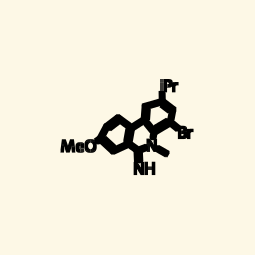 COc1ccc2c(c1)c(=N)n(C)c1c(Br)cc(C(C)C)cc21